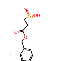 O=C(CC[PH](=O)O)OCc1ccccc1